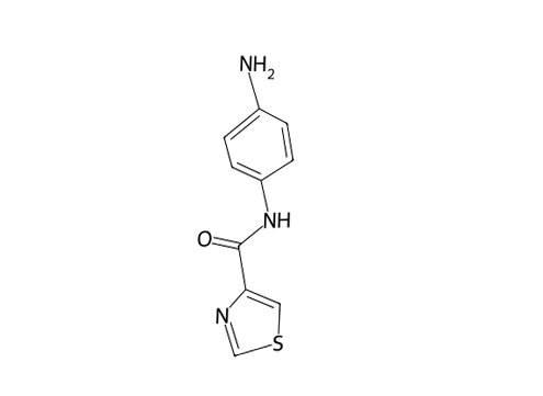 Nc1ccc(NC(=O)c2cscn2)cc1